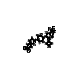 O=S1(=O)CC2(CCN([C@H]3CC[C@H](C4CC(C(F)(F)F)=NN4C4CCC4)CC3)C2)C1